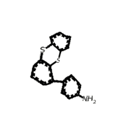 Nc1ccc(-c2cccc3c2Sc2ccccc2S3)cc1